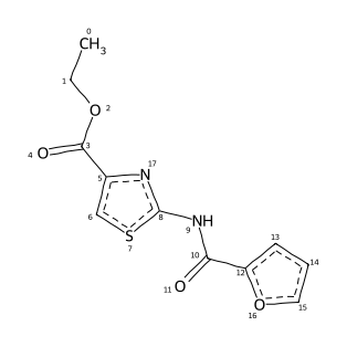 CCOC(=O)c1csc(NC(=O)c2ccco2)n1